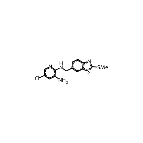 CSc1nc2ccc(CNc3ncc(Cl)cc3N)cc2s1